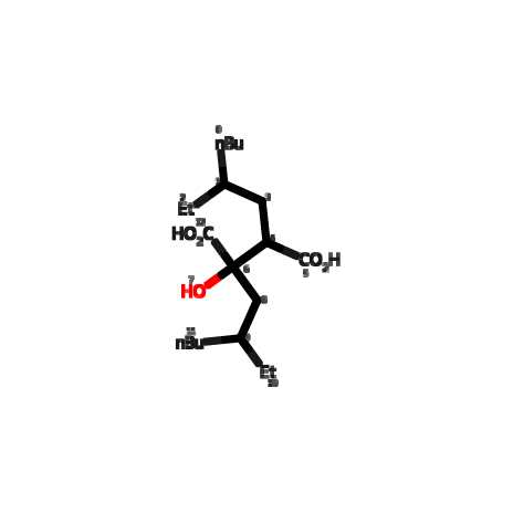 CCCCC(CC)CC(C(=O)O)C(O)(CC(CC)CCCC)C(=O)O